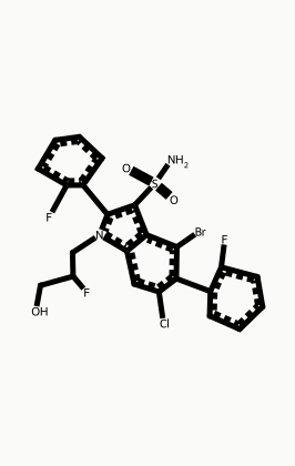 NS(=O)(=O)c1c(-c2ccccc2F)n(CC(F)CO)c2cc(Cl)c(-c3ccccc3F)c(Br)c12